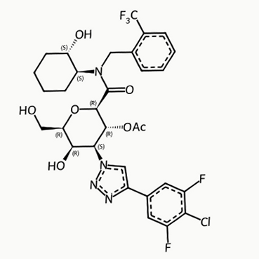 CC(=O)O[C@@H]1[C@@H](n2cc(-c3cc(F)c(Cl)c(F)c3)nn2)[C@@H](O)[C@@H](CO)O[C@H]1C(=O)N(Cc1ccccc1C(F)(F)F)[C@H]1CCCC[C@@H]1O